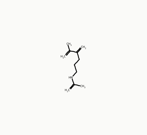 C=C(C)NCCCC(=C)C(=C)C